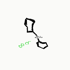 C1=CC[C]([Zr+3][C]2=CC=CC2)=C1.[Cl-].[Cl-].[Cl-]